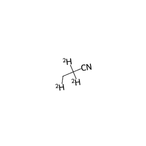 [2H]CC([2H])([2H])C#N